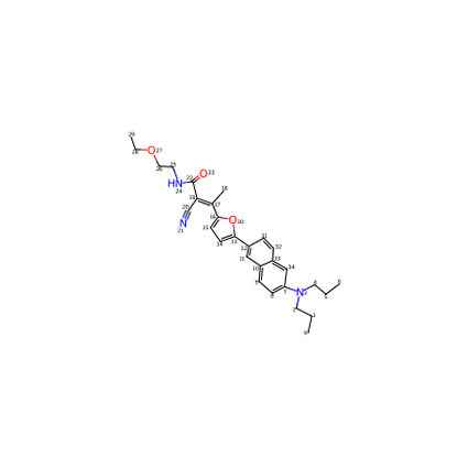 CCCN(CCC)c1ccc2cc(-c3ccc(/C(C)=C(\C#N)C(=O)NCCOCC)o3)ccc2c1